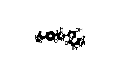 Cc1ncsc1-c1ccc([C@]2(C)NC([C@H]3C[C@@H](O)CN3C(=O)C(c3cn(C)nn3)C(C)C)=NC2=O)cc1